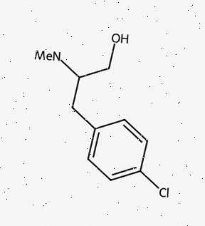 CNC(CO)Cc1ccc(Cl)cc1